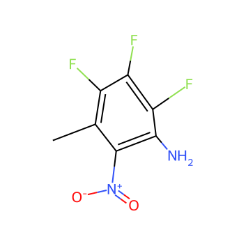 Cc1c(F)c(F)c(F)c(N)c1[N+](=O)[O-]